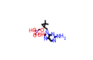 CC1(C)CC1(Cn1cnc2cnc(N)nc21)OCP(=O)(O)O